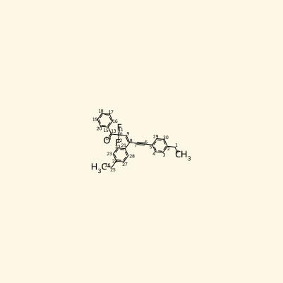 CCc1ccc(C#C/C(=C/C(F)(F)C(=O)c2ccccc2)c2ccc(CC)cc2)cc1